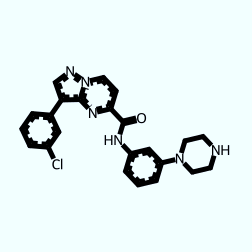 O=C(Nc1cccc(N2CCNCC2)c1)c1ccn2ncc(-c3cccc(Cl)c3)c2n1